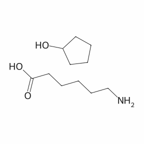 NCCCCCC(=O)O.OC1CCCC1